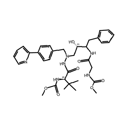 COC(=O)NCC(=O)NC(Cc1ccccc1)[C@@H](O)CN(Cc1ccc(-c2ccccn2)cc1)NC(=O)[C@H](NC(=O)OC)C(C)(C)C